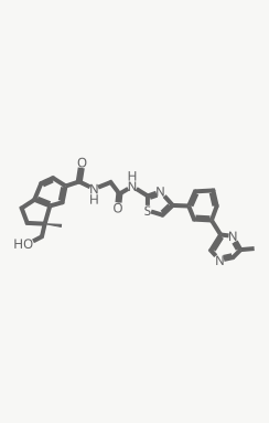 Cc1cncc(-c2cccc(-c3csc(NC(=O)CNC(=O)c4ccc5c(c4)[C@](C)(CO)CC5)n3)c2)n1